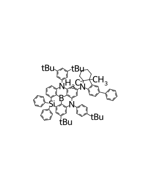 CC(C)(C)c1ccc(N2c3cc(N4c5ccc(-c6ccccc6)cc5C5(C)CCCCC45C)cc4c3B3c5c(cccc5[Si](c5ccccc5)(c5ccccc5)c5cc(C(C)(C)C)cc2c53)N4c2cc(C(C)(C)C)cc(C(C)(C)C)c2)cc1